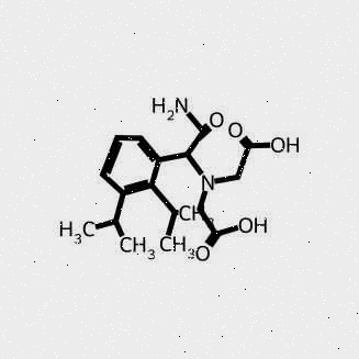 CC(C)c1cccc(C(C(N)=O)N(CC(=O)O)CC(=O)O)c1C(C)C